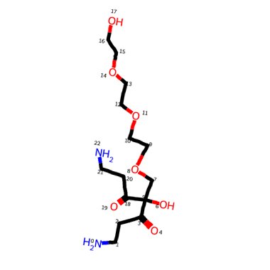 NCCC(=O)C(O)(COCCOCCOCCO)C(=O)CCN